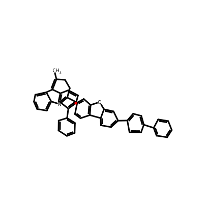 C/C1=C(/c2cccc(-c3ccccc3)c2)c2ccccc2/N=C(/c2ccc3c(c2)oc2cc(-c4ccc(-c5ccccc5)cc4)ccc23)CC1